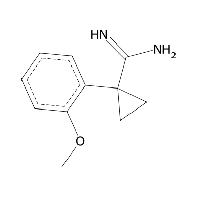 COc1ccccc1C1(C(=N)N)CC1